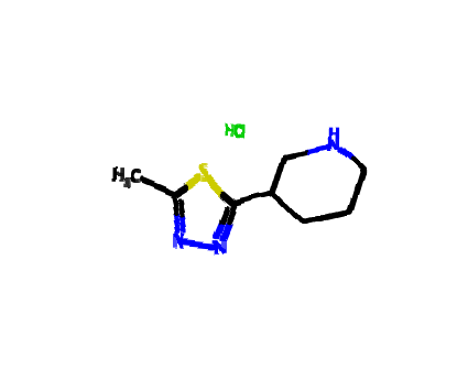 Cc1nnc(C2CCCNC2)s1.Cl